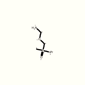 CCCP(C)(=O)COCN